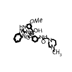 COc1cc(CO)cc(Nc2nc3ccccc3nc2NS(=O)(=O)c2cccc(NC(=O)CN3CCCN(C)CC3)c2)c1